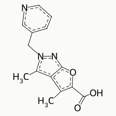 Cc1c(C(=O)O)oc2nn(Cc3cccnc3)c(C)c12